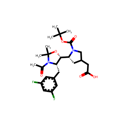 CC(=O)N1[C@@H](Cc2cc(F)cc(F)c2)[C@@H]([C@H]2CC(CC(=O)O)CN2C(=O)OC(C)(C)C)OC1(C)C